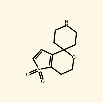 O=S1(=O)C=CC2=C1CCOC21CCNCC1